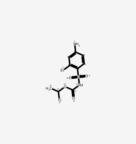 CCc1cc(N)ccc1S(=O)(=O)NC(=O)OC(C)Cl